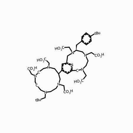 CC(C)(C)CN1CCCN(CC(=O)O)CCN(CC(=O)O)CC(c2cc3nc(c2)CN(CC(=O)O)[C@@H](Cc2ccc(C(C)(C)C)cc2)CN(CC(=O)O)CCN(CC(=O)O)C3)CN(CC(=O)O)CC1